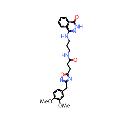 COc1ccc(Cc2noc(CCC(=O)NCCCNc3n[nH]c(=O)c4ccccc34)n2)cc1OC